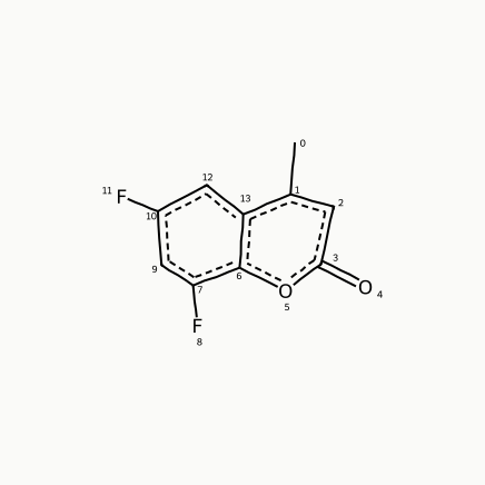 Cc1cc(=O)oc2c(F)cc(F)cc12